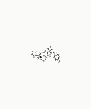 O=C(Nc1ccc(F)cn1)C1(c2ccc3c(c2)CCCN3S(=O)(=O)N2CCCC2)CCC1